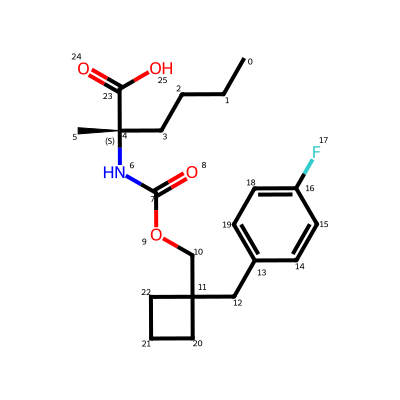 CCCC[C@](C)(NC(=O)OCC1(Cc2ccc(F)cc2)CCC1)C(=O)O